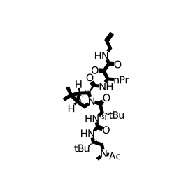 C=CCNC(=O)C(=O)C(CCC)NC(=O)[C@@H]1[C@@H]2[C@H](CN1C(=O)[C@@H](NC(=O)N[C@H](CN(C)C(C)=O)C(C)(C)C)C(C)(C)C)C2(C)C